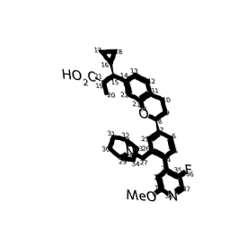 COc1cc(-c2ccc([C@@H]3CCc4ccc([C@H](C5CC5)[C@H](C)C(=O)O)cc4O3)cc2CN2C3CCC2CC3)c(F)cn1